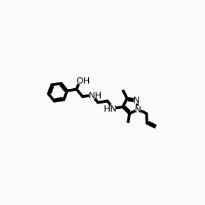 C=CCn1nc(C)c(NCCNCC(O)c2ccccc2)c1C